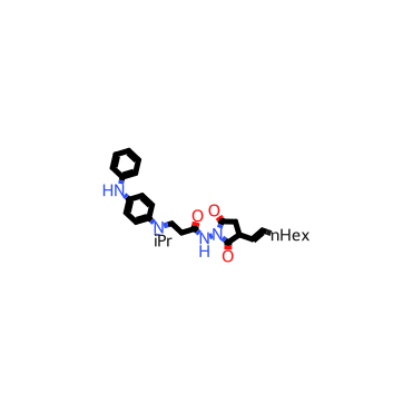 CCCCCC/C=C/C1CC(=O)N(NC(=O)CCN(c2ccc(Nc3ccccc3)cc2)C(C)C)C1=O